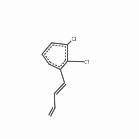 C=CC=Cc1cccc(Cl)c1Cl